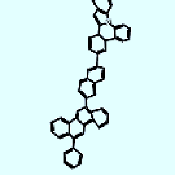 C1=Cc2c(cc3n2-c2ccccc2C2C=C(c4ccc5cc(-c6cc7c8ccccc8c(-c8ccccc8)cc7c7ccccc67)ccc5c4)C=CC32)CC1